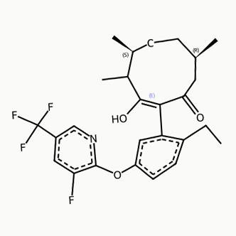 CCc1ccc(Oc2ncc(C(F)(F)F)cc2F)cc1/C1=C(\O)C(C)[C@@H](C)CC[C@@H](C)CC1=O